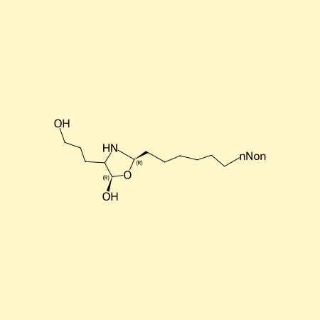 CCCCCCCCCCCCCCC[C@@H]1NC(CCCO)[C@H](O)O1